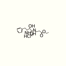 CCOC(=O)CCNC(=O)C(O)[C@H](N)Cc1ccccc1.Cl